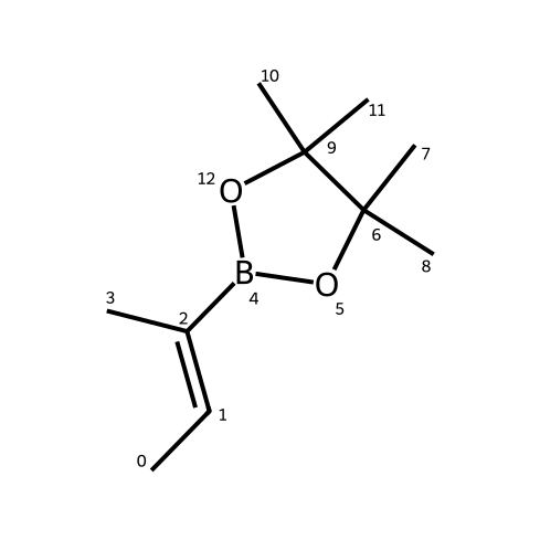 CC=C(C)B1OC(C)(C)C(C)(C)O1